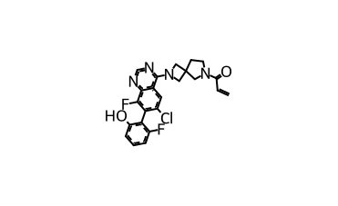 C=CC(=O)N1CCC2(C1)CN(c1ncnc3c(F)c(-c4c(O)cccc4F)c(Cl)cc13)C2